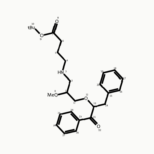 COC(CNCCCC(=O)OC(C)(C)C)COC(Cc1ccccc1)C(=O)c1ccccc1